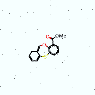 COC(=O)c1cccc2c1OC=C1CC=CC=C1S2